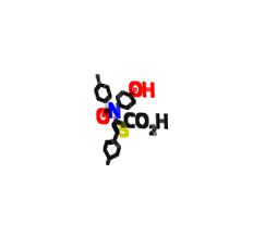 CC1CC=C(c2cc(N(C(=O)[C@H]3CC[C@H](C)CC3)[C@H]3CC[C@H](O)CC3)c(C(=O)O)s2)CC1